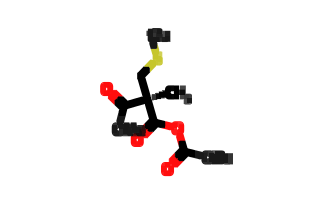 COC(=O)[C@@](C)(CSC(C)(C)C)C(=O)OC(=O)OCC(C)C